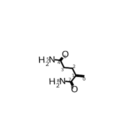 C=C(CCC(N)=O)C(N)=O